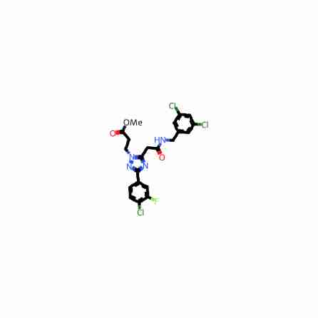 COC(=O)CCn1nc(-c2ccc(Cl)c(F)c2)nc1CC(=O)NCc1cc(Cl)cc(Cl)c1